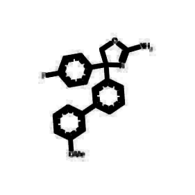 COc1cccc(-c2cccc(C3(c4ccc(F)cc4)COC(N)=N3)c2)c1